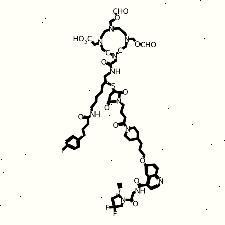 C#C[C@H]1CC(F)(F)CN1C(=O)CNC(=O)c1ccnc2ccc(OCCCC3CCN(C(=O)CCCN4C(=O)CC(SC(CCCCCNC(=O)CCCc5ccc(I)cc5)CNC(=O)CN5CCN(COC=O)CCN(COC=O)CCN(CC(=O)O)CC5)C4=O)CC3)cc12